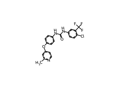 Cc1cc(Oc2ccc(NC(=O)Nc3ccc(Cl)c(C(F)(F)F)c3)cc2)ccn1